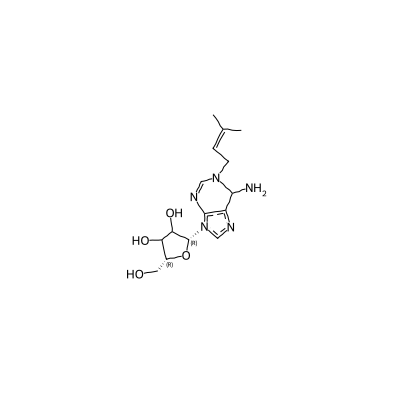 CC(C)=CCN1C=Nc2c(ncn2[C@@H]2O[C@H](CO)C(O)C2O)C1N